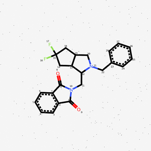 O=C1c2ccccc2C(=O)N1CC1C2CC(F)(F)CC2CN1Cc1ccccc1